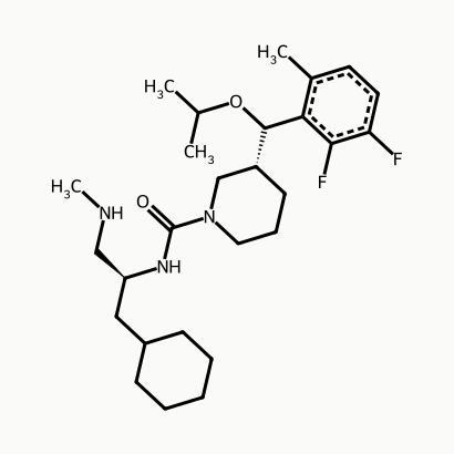 CNC[C@H](CC1CCCCC1)NC(=O)N1CCC[C@@H](C(OC(C)C)c2c(C)ccc(F)c2F)C1